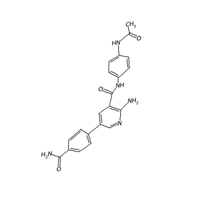 CC(=O)Nc1ccc(NC(=O)c2cc(-c3ccc(C(N)=O)cc3)cnc2N)cc1